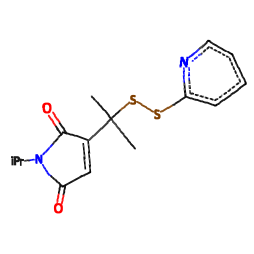 CC(C)N1C(=O)C=C(C(C)(C)SSc2ccccn2)C1=O